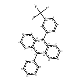 FC(F)(F)c1cccc(-c2c3ccccc3c(-c3ccccc3)c3ccccc23)c1